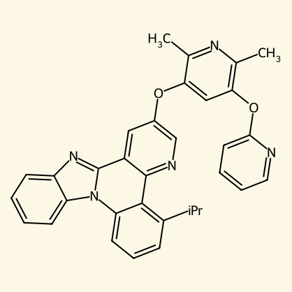 Cc1nc(C)c(Oc2ccccn2)cc1Oc1cnc2c(c1)c1nc3ccccc3n1c1cccc(C(C)C)c21